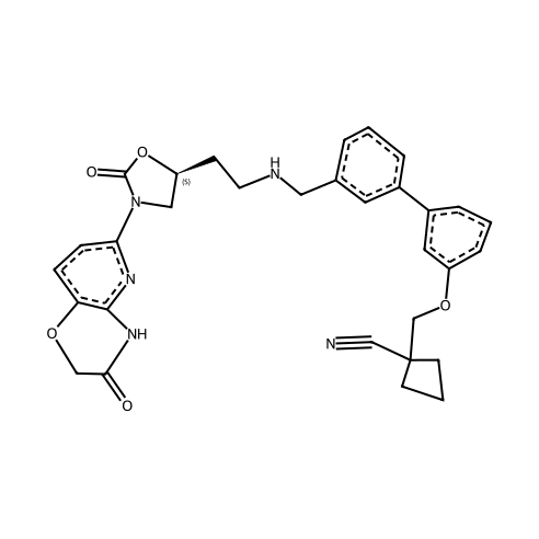 N#CC1(COc2cccc(-c3cccc(CNCC[C@H]4CN(c5ccc6c(n5)NC(=O)CO6)C(=O)O4)c3)c2)CCC1